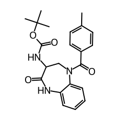 Cc1ccc(C(=O)N2CC(NC(=O)OC(C)(C)C)C(=O)Nc3ccccc32)cc1